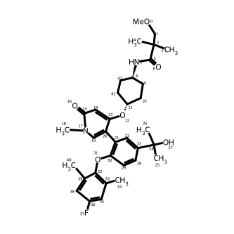 COCC(C)(C)C(=O)N[C@H]1CC[C@H](Oc2cc(=O)n(C)cc2-c2cc(C(C)(C)O)ccc2Oc2c(C)cc(F)cc2C)CC1